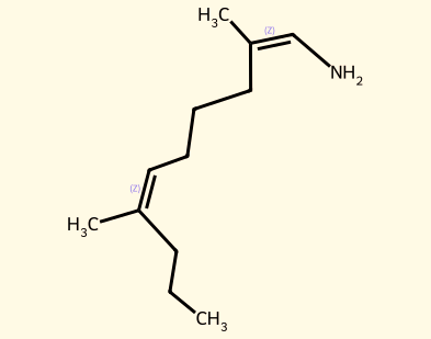 CCC/C(C)=C\CCC/C(C)=C\N